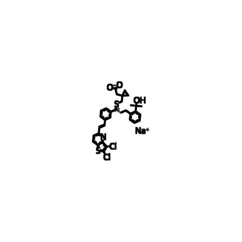 CC(C)(O)c1ccccc1CC[C@@H](SCC1(CC(=O)[O-])CC1)c1cccc(C=Cc2ccc3sc(Cl)c(Cl)c3n2)c1.[Na+]